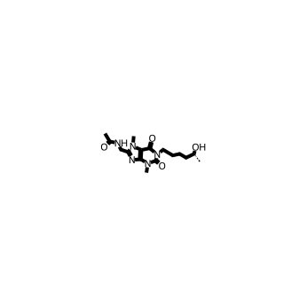 CC(=O)NCc1nc2c(c(=O)n(CCCC[C@@H](C)O)c(=O)n2C)n1C